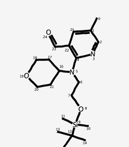 Cc1cnc(N(CCO[Si](C)(C)C(C)(C)C)C2CCOCC2)c(C=O)c1